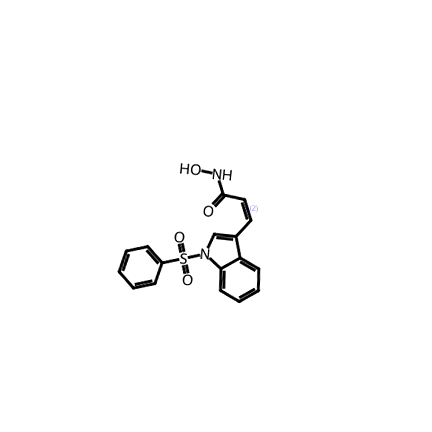 O=C(/C=C\c1cn(S(=O)(=O)c2ccccc2)c2ccccc12)NO